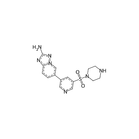 Nc1nc2ccc(-c3cncc(S(=O)(=O)N4CCNCC4)c3)cn2n1